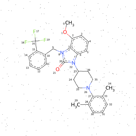 COc1cccc2c1n(Cc1ccccc1C(F)(F)F)c(=O)n2C1CCN(c2c(C)cccc2C)CC1